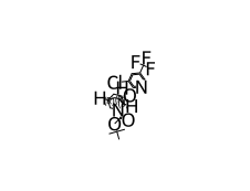 CC(C)(C)OC(=O)N1C[C@@H]2CC[C@H]1[C@H](Oc1ncc(C(F)(F)F)cc1Cl)C2